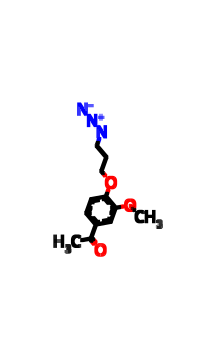 COc1cc(C(C)=O)ccc1OCCCN=[N+]=[N-]